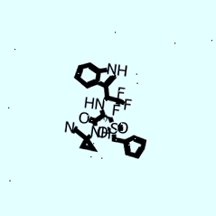 N#CC1(NC(=O)[C@H](CS(=O)(=O)Cc2ccccc2)NC(c2c[nH]c3ccccc23)C(F)(F)F)CC1